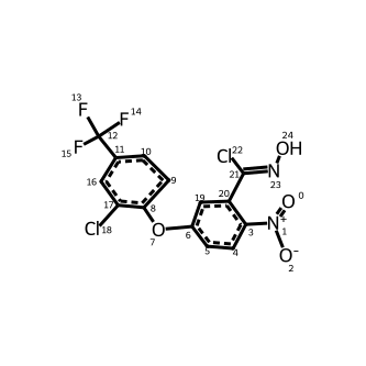 O=[N+]([O-])c1ccc(Oc2ccc(C(F)(F)F)cc2Cl)cc1C(Cl)=NO